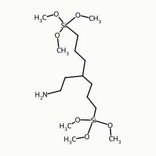 CO[Si](CCCC(CCN)CCC[Si](OC)(OC)OC)(OC)OC